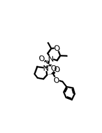 CC1CN(S(=O)(=O)N2CCCC[C@H]2C(=O)OCc2ccccc2)CC(C)O1